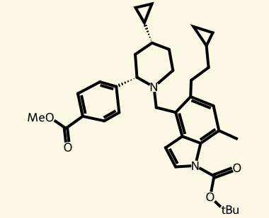 COC(=O)c1ccc([C@@H]2C[C@H](C3CC3)CCN2Cc2c(CCC3CC3)cc(C)c3c2ccn3C(=O)OC(C)(C)C)cc1